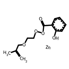 C=C(C)COCCOOC(=O)c1ccccc1O.[Zn]